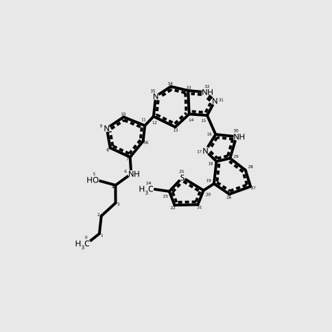 CCCCC(O)Nc1cncc(-c2cc3c(-c4nc5c(-c6ccc(C)s6)cccc5[nH]4)n[nH]c3cn2)c1